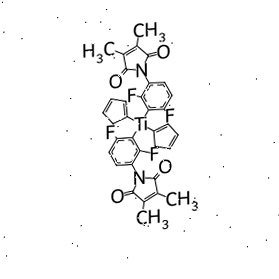 CC1=C(C)C(=O)N(c2ccc(F)[c]([Ti]([C]3=CC=CC3)([C]3=CC=CC3)[c]3c(F)ccc(N4C(=O)C(C)=C(C)C4=O)c3F)c2F)C1=O